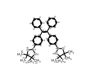 CC1(C)OB(c2ccc(C(=C(c3ccccc3)c3ccc(B4OC(C)(C)C(C)(C)O4)cc3)c3ccccc3)cc2)OC1(C)C